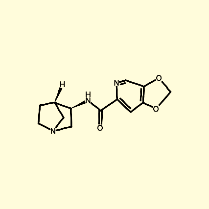 O=C(N[C@H]1CN2CC[C@H]1C2)c1cc2c(cn1)OCO2